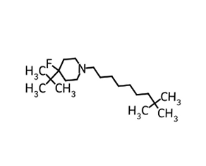 CC(C)(C)CCCCCCCN1CCC(F)(C(C)(C)C)CC1